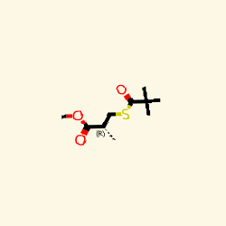 COC(=O)[C@@H](C)CSC(=O)C(C)(C)C